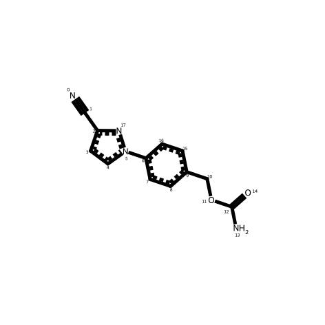 N#Cc1ccn(-c2ccc(COC(N)=O)cc2)n1